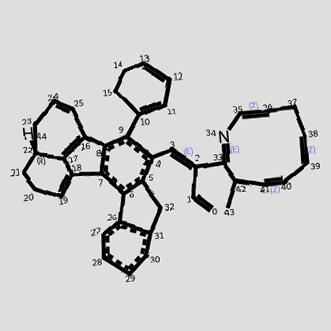 C=CC(=C\c1c2c(c3c(c1C1=CC=CCC1)C1=C4C3=CCC[C@@H]4CC=C1)-c1ccccc1C2)/C1=N/C=C\C/C=C\C=C/C1C